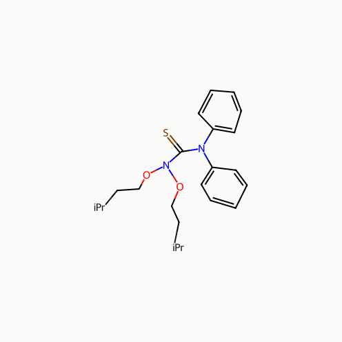 CC(C)CCON(OCCC(C)C)C(=S)N(c1ccccc1)c1ccccc1